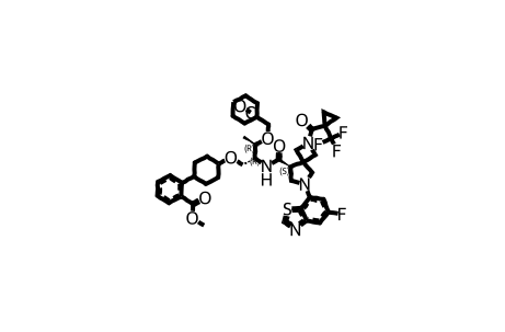 COC(=O)c1ccccc1C1CCC(OC[C@@H](NC(=O)[C@@H]2CN(c3cc(F)cc4ncsc34)CC23CN(C(=O)C2(C(F)(F)F)CC2)C3)[C@@H](C)OCC23CCC(CC2)OC3)CC1